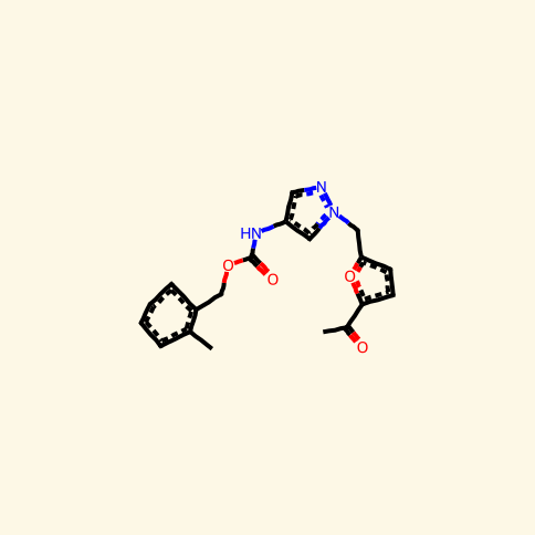 CC(=O)c1ccc(Cn2cc(NC(=O)OCc3ccccc3C)cn2)o1